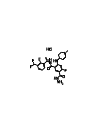 C[C@@H](NC(=O)c1cc(C(=O)NN)c(F)cc1NC1CCN(C)CC1)c1cccc(C(F)F)c1F.Cl